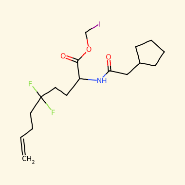 C=CCCC(F)(F)CCC(NC(=O)CC1CCCC1)C(=O)OCI